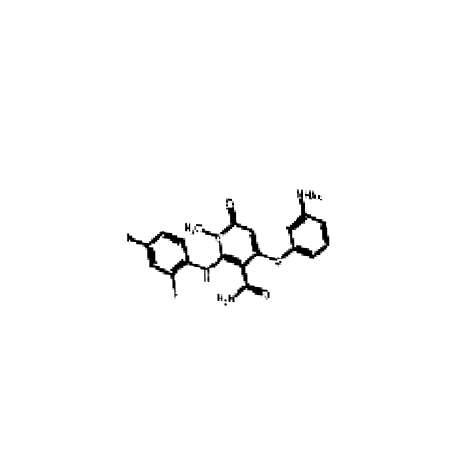 CC(=O)Nc1cccc(Sc2cc(=O)n(C)c(Nc3ccc(I)cc3F)c2C(N)=O)c1